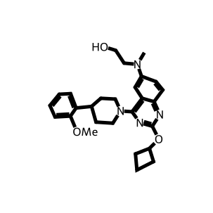 COc1ccccc1C1CCN(c2nc(OC3CCC3)nc3ccc(N(C)CCO)cc23)CC1